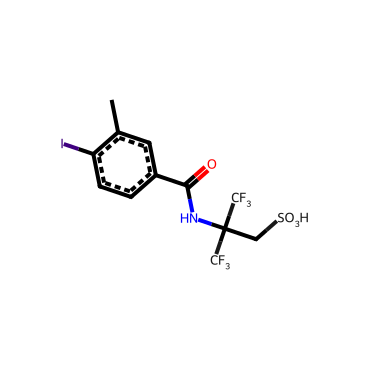 Cc1cc(C(=O)NC(CS(=O)(=O)O)(C(F)(F)F)C(F)(F)F)ccc1I